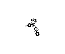 C[C@@H](SC1COC(c2ccccc2)OC1)[C@](O)(Cn1cncn1)c1ccc(F)cc1